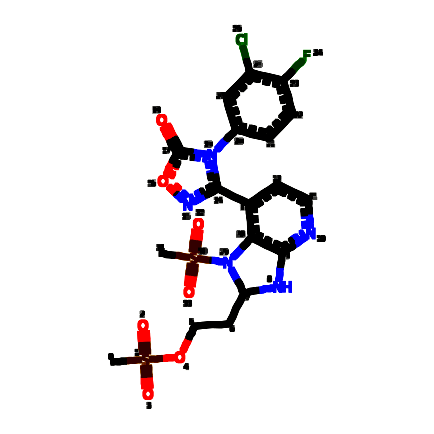 CS(=O)(=O)OCCC1Nc2nccc(-c3noc(=O)n3-c3ccc(F)c(Cl)c3)c2N1S(C)(=O)=O